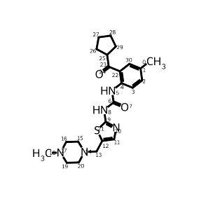 Cc1ccc(NC(=O)Nc2ncc(CN3CCN(C)CC3)s2)c(C(=O)C2CCCC2)c1